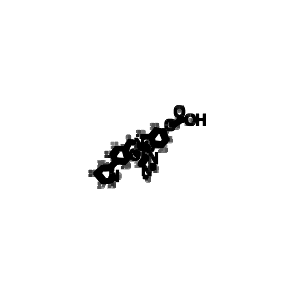 Cn1cnc(S(=O)(=O)N(Cc2ccc(-c3ccccn3)cc2)Cc2cccc(OCC(=O)O)c2)c1